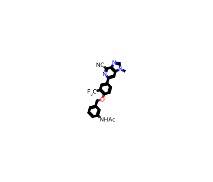 CC(=O)Nc1cccc(COc2ccc(-c3cc4c(ncn4C)c(C#N)n3)cc2C(F)(F)F)c1